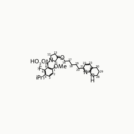 COc1ccc(C(C)C)c(F)c1[C@H](C(=O)O)N1CC[C@@H](OCCCCCc2ccc3c(n2)NCCC3)C1